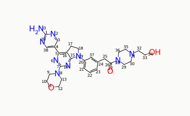 Nc1ncc(-c2nc(N3CCOCC3)nc3c2CCN3c2cccc(CC(=O)N3CCN(CCO)CC3)c2)cn1